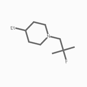 CCC1CCN(CC(C)(C)F)CC1